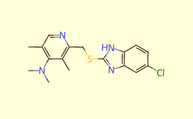 Cc1cnc(CSc2nc3cc(Cl)ccc3[nH]2)c(C)c1N(C)C